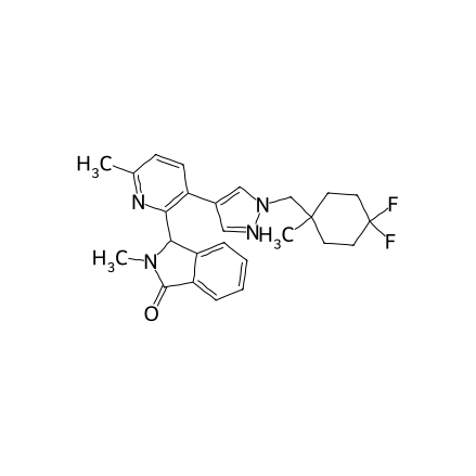 Cc1ccc(-c2cnn(CC3(C)CCC(F)(F)CC3)c2)c(C2c3ccccc3C(=O)N2C)n1